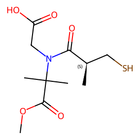 COC(=O)C(C)(C)N(CC(=O)O)C(=O)[C@H](C)CS